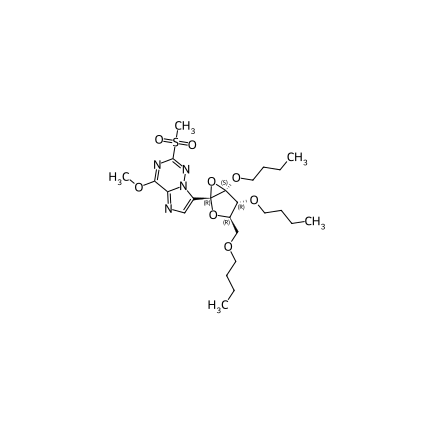 CCCCOC[C@H]1O[C@]2(c3cnc4c(OC)nc(S(C)(=O)=O)nn34)O[C@@]2(OCCCC)[C@@H]1OCCCC